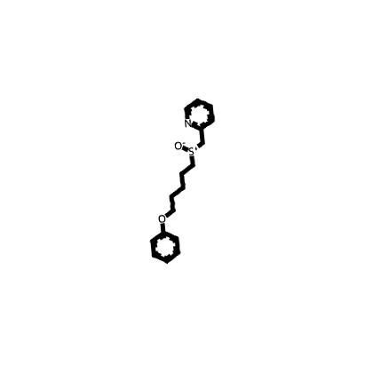 [O-][S+](CCCCCOc1cc[c]cc1)Cc1ccccn1